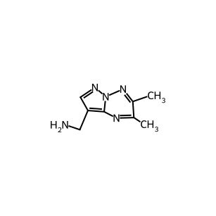 Cc1nc2c(CN)cnn2nc1C